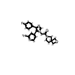 [2H]c1cc(-c2c(-c3ccc(F)cc3)ncn2CC(=O)N2CCC3(COC3)C2)ccn1